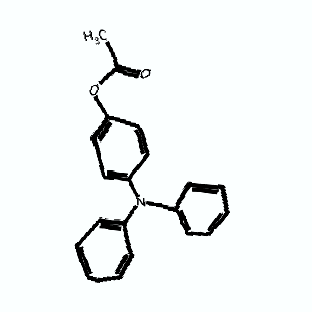 CC(=O)Oc1ccc(N(c2ccccc2)c2ccccc2)cc1